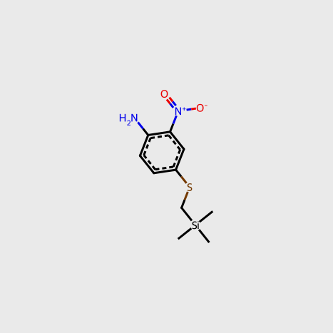 C[Si](C)(C)CSc1ccc(N)c([N+](=O)[O-])c1